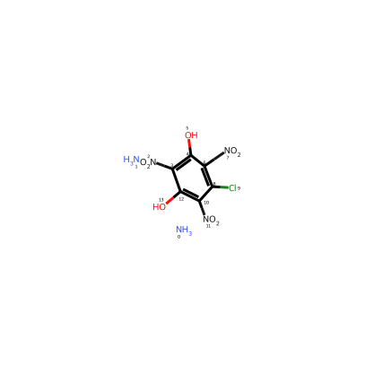 N.N.O=[N+]([O-])c1c(O)c([N+](=O)[O-])c(Cl)c([N+](=O)[O-])c1O